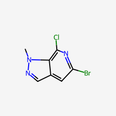 Cn1ncc2cc(Br)nc(Cl)c21